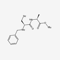 C[C@H](NC(=O)[C@H](CS)NCc1ccccc1)C(=O)OC(C)(C)C